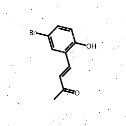 CC(=O)C=Cc1cc(Br)ccc1O